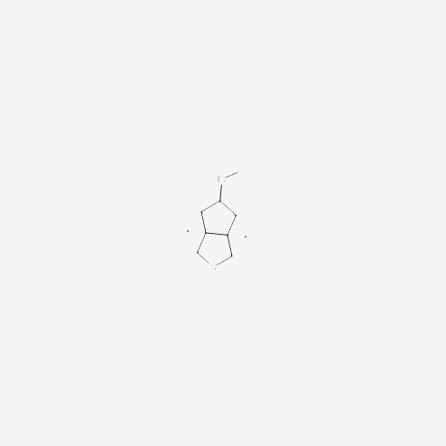 O=C(O)NC1C[C@H]2CNC[C@H]2C1